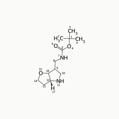 CC(C)(C)OC(=O)NCC1CN[C@@H]2CCOC12